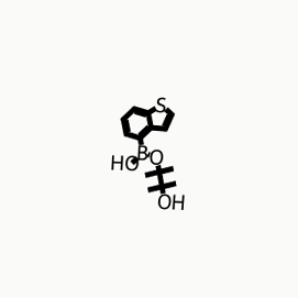 CC(C)(O)C(C)(C)OB(O)c1cccc2sccc12